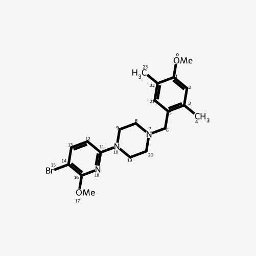 COc1cc(C)c(CN2CCN(c3ccc(Br)c(OC)n3)CC2)cc1C